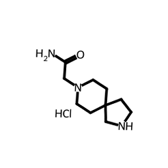 Cl.NC(=O)CN1CCC2(CCNC2)CC1